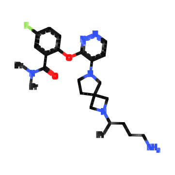 CC(C)C(CCCN)N1CC2(CCN(c3ccnnc3Oc3ccc(F)cc3C(=O)N(C(C)C)C(C)C)C2)C1